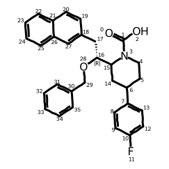 O=C(O)N1CCC(c2ccc(F)cc2)CC1[C@@H](Cc1ccc2ccccc2c1)OCc1ccccc1